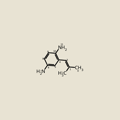 CC(C)=Cc1cc(N)ccc1N